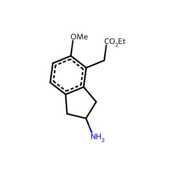 CCOC(=O)Cc1c(OC)ccc2c1CC(N)C2